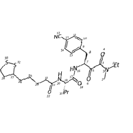 CCN(C)C(=O)C(=O)[C@H](Cc1ccc(C#N)cc1)NC(=O)[C@@H](NC(=O)CCCCC1CCSS1)C(C)C